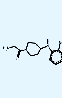 CN(c1ccccc1Br)C1CCN(C(=O)CN)CC1